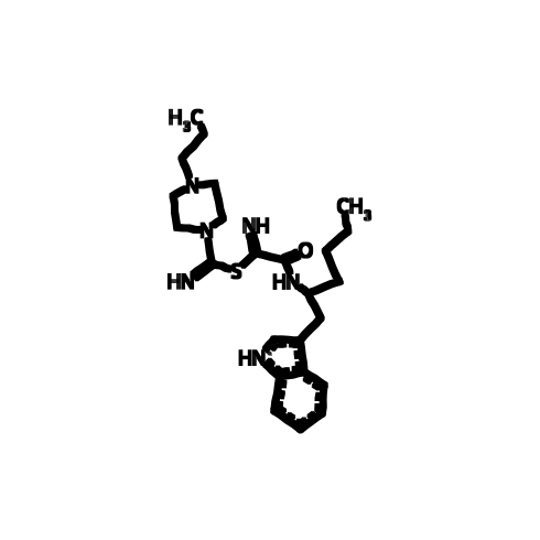 CCCCC(Cc1c[nH]c2ccccc12)NC(=O)C(=N)SC(=N)N1CCN(CCC)CC1